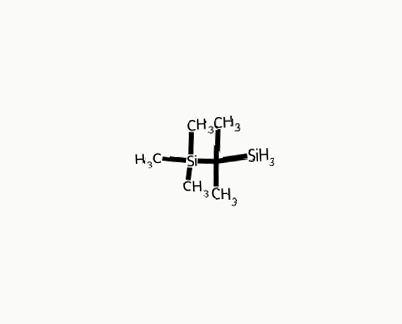 CC(C)([SiH3])[Si](C)(C)C